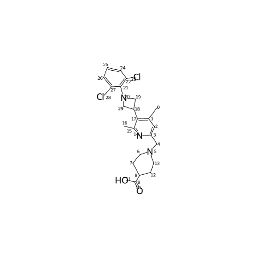 Cc1cc(CN2CCC(C(=O)O)CC2)nc(C)c1C1CN(c2c(Cl)cccc2Cl)C1